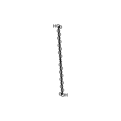 O=C(O)CCOCCOCCOCCOCCOCCOCCOCCOCCSSCCOCCOCCOCCOCCOCCOCCOCCOCCC(=O)O